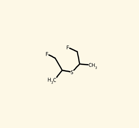 CC(CF)SC(C)CF